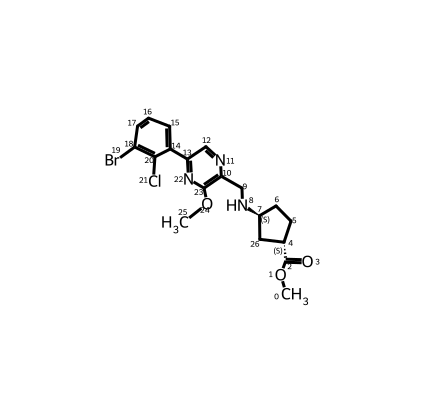 COC(=O)[C@H]1CC[C@H](NCc2ncc(-c3cccc(Br)c3Cl)nc2OC)C1